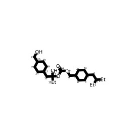 CCC(CC)CC1CCC(COC(=O)OC(C)(CC)CC2CCC(CO)CC2)CC1